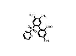 Cc1cc(-c2ccc(O)cc2C=O)c(S(=O)(=O)c2ncccn2)cc1C